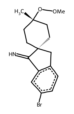 COO[C@]1(C)CC[C@]2(CC1)Cc1ccc(Br)cc1C2=N